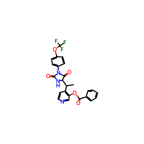 CC(c1ccncc1OC(=O)c1ccccc1)C1NC(=O)N(c2ccc(OC(F)(F)F)cc2)C1=O